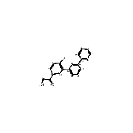 O=C(CBr)c1ccc(I)c(-c2cccc(-c3ccccc3)c2)c1